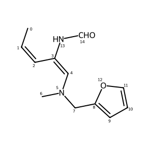 C/C=C\C(=C/N(C)Cc1ccco1)NC=O